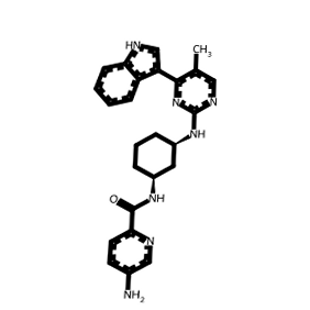 Cc1cnc(N[C@@H]2CCC[C@H](NC(=O)c3ccc(N)cn3)C2)nc1-c1c[nH]c2ccccc12